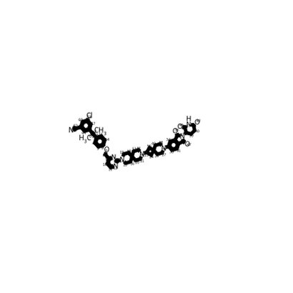 CC(C)(c1ccc(OCc2ccnc(N3CCC4(CC3)CCN(C3CC5(CCN(c6ccc7c(c6)C(=O)N(C6CCC(=O)NC6=O)C7=O)CC5)C3)CC4)n2)cc1)c1cc(Cl)cc(C#N)c1